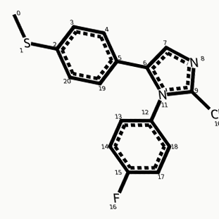 CSc1ccc(-c2cnc(Cl)n2-c2ccc(F)cc2)cc1